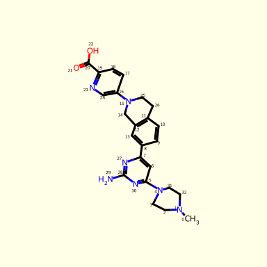 CN1CCN(c2cc(-c3ccc4c(c3)CN(c3ccc(C(=O)O)nc3)CC4)nc(N)n2)CC1